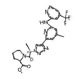 COC(=O)C1CCCN1C(=O)[C@@H](C)n1cc(-c2cc(C)cc(Nc3cc(C(F)(F)F)ccn3)n2)nn1